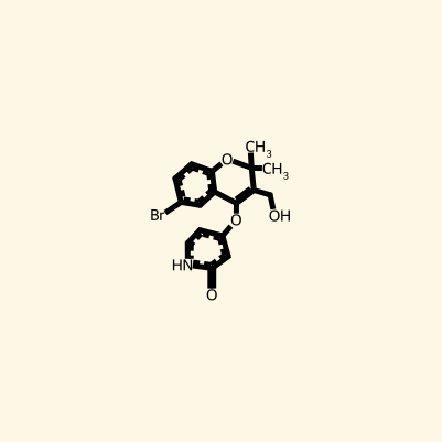 CC1(C)Oc2ccc(Br)cc2C(Oc2cc[nH]c(=O)c2)=C1CO